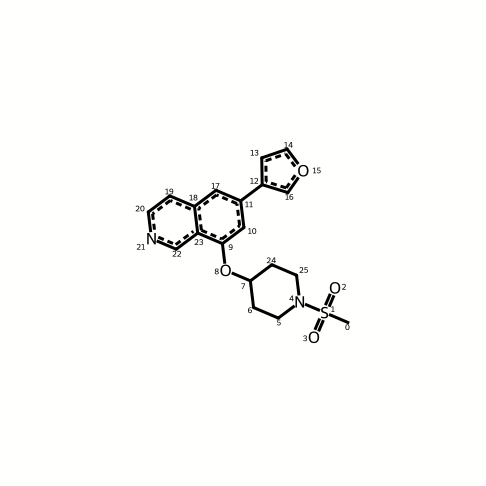 CS(=O)(=O)N1CCC(Oc2cc(-c3ccoc3)cc3ccncc23)CC1